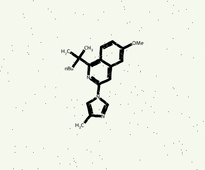 CCCCC(C)(C)c1nc(-n2cnc(C)c2)cc2cc(OC)ccc12